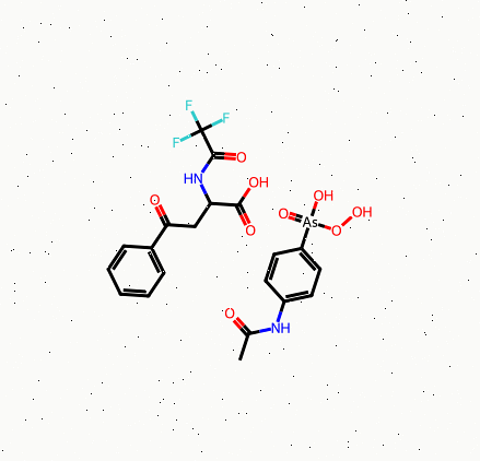 CC(=O)Nc1ccc([As](=O)(O)OO)cc1.O=C(CC(NC(=O)C(F)(F)F)C(=O)O)c1ccccc1